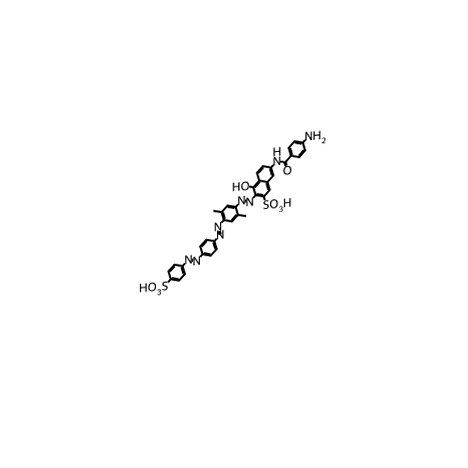 Cc1cc(N=Nc2c(S(=O)(=O)O)cc3cc(NC(=O)c4ccc(N)cc4)ccc3c2O)c(C)cc1N=Nc1ccc(N=Nc2ccc(S(=O)(=O)O)cc2)cc1